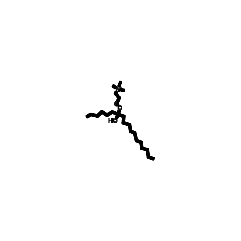 CCCCCCCCCCCC(O)(CCCCCC)OOCC[N+](C)(C)C